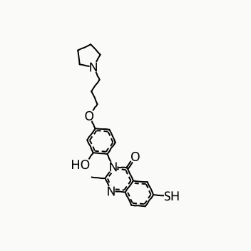 Cc1nc2ccc(S)cc2c(=O)n1-c1ccc(OCCCN2CCCC2)cc1O